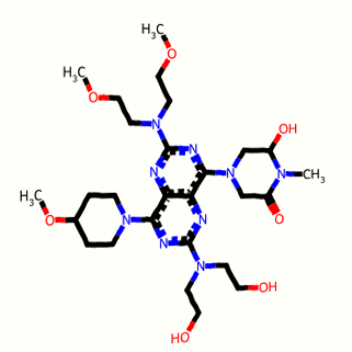 COCCN(CCOC)c1nc(N2CC(=O)N(C)C(O)C2)c2nc(N(CCO)CCO)nc(N3CCC(OC)CC3)c2n1